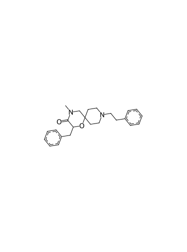 CN1CC2(CCN(CCc3ccccc3)CC2)OC(Cc2ccccc2)C1=O